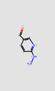 NNc1ccc([C]=O)cn1